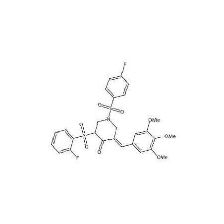 COc1cc(C=C2CN(S(=O)(=O)c3ccc(F)cc3)CC(S(=O)(=O)c3ccccc3F)C2=O)cc(OC)c1OC